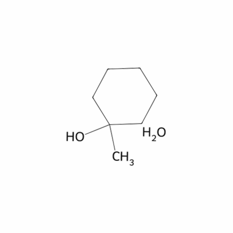 CC1(O)CCCCC1.O